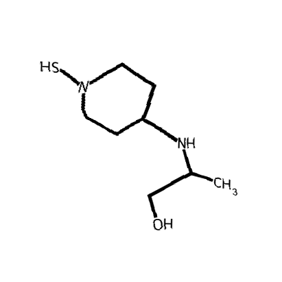 CC(CO)NC1CCN(S)CC1